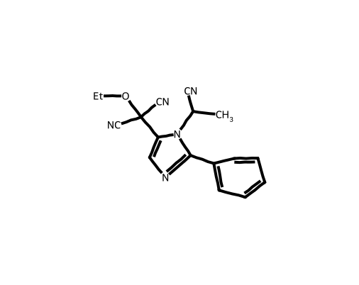 CCOC(C#N)(C#N)c1cnc(-c2ccccc2)n1C(C)C#N